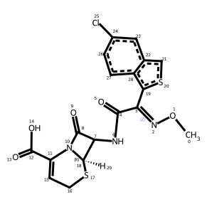 CO/N=C(/C(=O)NC1C(=O)N2C(C(=O)O)=CCS[C@H]12)c1scc2cc(Cl)ccc12